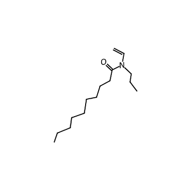 C=CN(CCC)C(=O)CCCCCCCCC